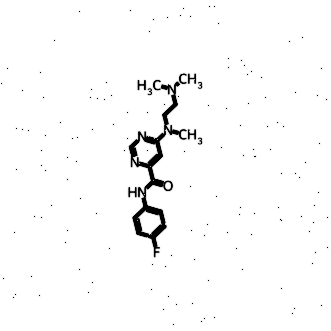 CN(C)CCN(C)c1cc(C(=O)Nc2ccc(F)cc2)ncn1